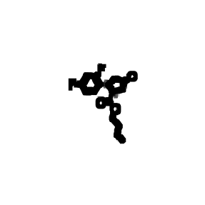 CCCCOC(=O)[C@@H]1CC(=O)C[C@H]1c1ccc(F)cc1F